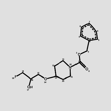 O=C(OCc1ccccc1)N1CCC(OCC(O)CF)CC1